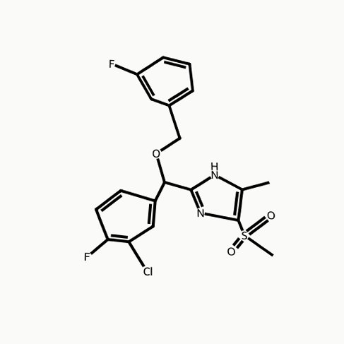 Cc1[nH]c(C(OCc2cccc(F)c2)c2ccc(F)c(Cl)c2)nc1S(C)(=O)=O